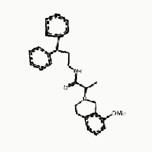 COc1cccc2c1CN(C(C)C(=O)NCCC(c1ccccc1)c1ccccc1)CC2